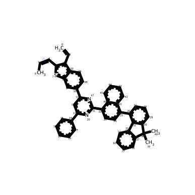 C=Cc1c(/C=C\C)sc2cc(-c3cc(-c4ccccc4)nc(-c4ccc(-c5cccc6c5-c5ccccc5C6(C)C)c5ccccc45)n3)ccc12